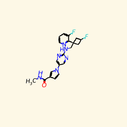 CNC(=O)c1ccn(-c2cnc(NCC3(c4ncccc4F)CC(F)C3)nc2)c1